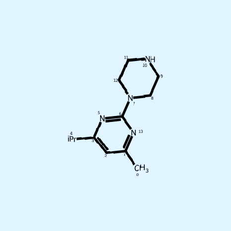 Cc1cc(C(C)C)nc(N2CCNCC2)n1